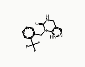 O=C1NCc2cn[nH]c2N1Cc1ccccc1C(F)(F)F